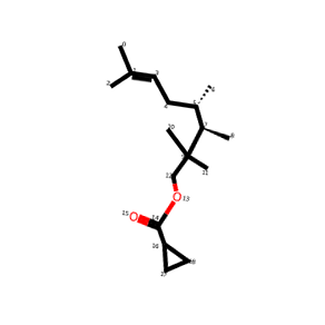 CC(C)=CC[C@H](C)[C@@H](C)C(C)(C)COC(=O)C1CC1